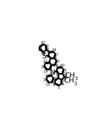 CC1(C)c2ccccc2-c2c(N(c3ccccc3)c3cccc4c3ccc3ccc5c6ccccc6sc5c34)cccc21